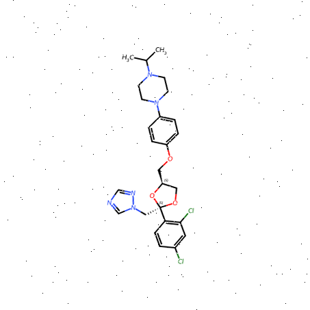 CC(C)N1CCN(c2ccc(OC[C@H]3CO[C@@](Cn4cncn4)(c4ccc(Cl)cc4Cl)O3)cc2)CC1